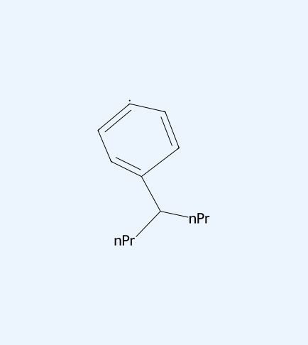 CCCC(CCC)c1cc[c]cc1